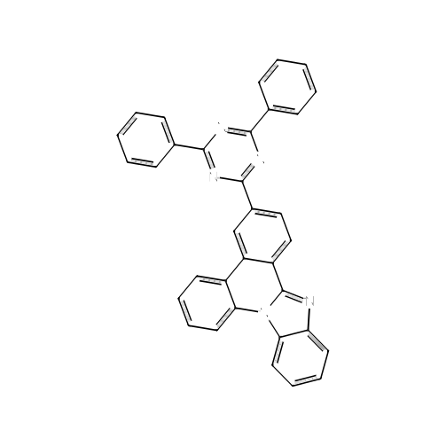 c1ccc(-c2nc(-c3ccccc3)nc(-c3ccc4c(c3)c3ccccc3n3c5ccccc5nc43)n2)cc1